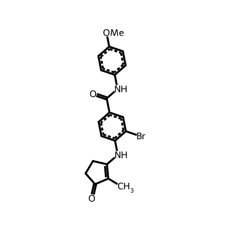 COc1ccc(NC(=O)c2ccc(NC3=C(C)C(=O)CC3)c(Br)c2)cc1